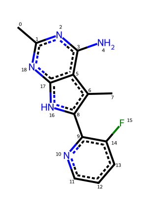 Cc1nc(N)c2c(C)c(-c3ncccc3F)[nH]c2n1